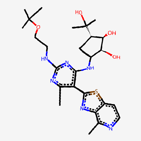 Cc1nc(NCCOC(C)(C)C)nc(NC2C[C@H](C(C)(C)O)[C@@H](O)[C@H]2O)c1-c1nc2c(C)nccc2s1